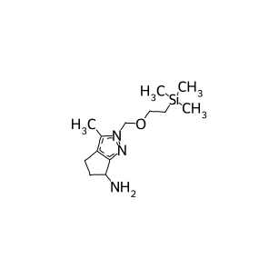 Cc1c2c(nn1COCC[Si](C)(C)C)C(N)CC2